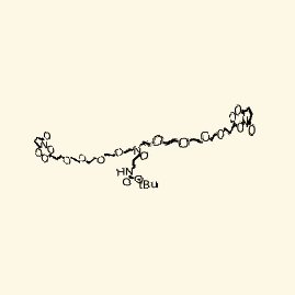 CC(C)(C)OC(=O)NCCC(=O)N(CCOCCOCCOCCOCCC(=O)ON1C(=O)CCC1=O)CCOCCOCCOCCOCCC(=O)ON1C(=O)CCC1=O